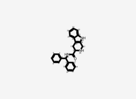 O=C(NC(c1ccccc1)c1ccccc1)C1Cc2c([nH]c3ccccc23)CN1